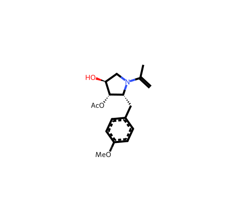 C=C(C)N1C[C@H](O)[C@@H](OC(C)=O)[C@H]1Cc1ccc(OC)cc1